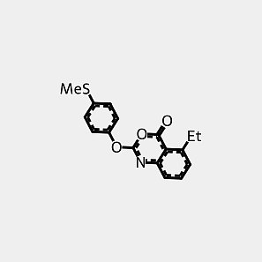 CCc1cccc2nc(Oc3ccc(SC)cc3)oc(=O)c12